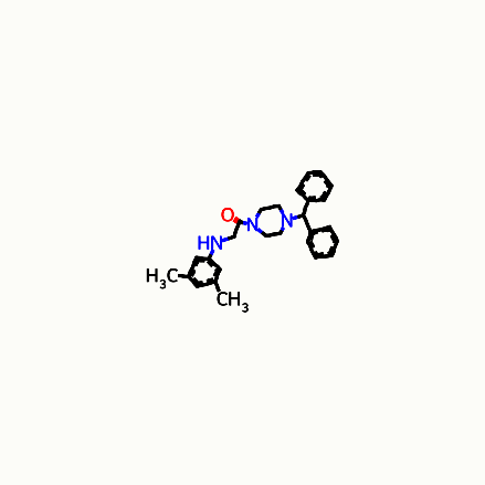 Cc1cc(C)cc(NCC(=O)N2CCN(C(c3ccccc3)c3ccccc3)CC2)c1